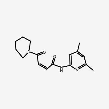 Cc1cc(C)nc(NC(=O)/C=C\C(=O)N2CCCCC2)c1